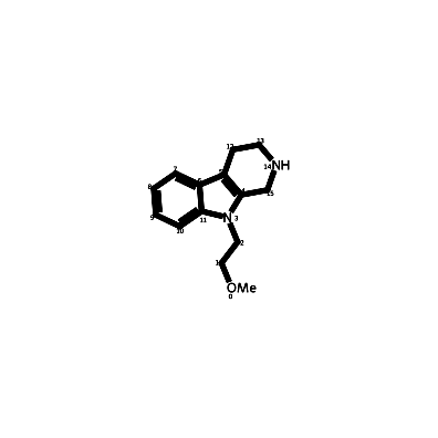 COCCn1c2c(c3ccccc31)CCNC2